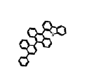 c1ccc(-c2ccc(-c3c4ccccc4c(-c4cccc5c4sc4ccccc45)c4ccccc34)c3ccccc23)cc1